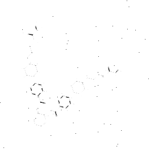 C=CC(=O)OCCC[C@H]1CC[C@H](c2ccc(C(=O)O[C@@H]3OCCO[C@H]3OC(=O)c3ccc([C@H]4CC[C@H](CCCOC(=O)C=C)CC4)cc3)cc2)CC1